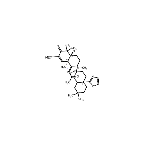 CC(=O)/C=C1/[C@@]2(C)C=C(C#N)C(=O)C(C)(C)[C@@H]2CC[C@@]1(C)[C@]1(C)CC[C@@]2(c3nnco3)CCC(C)(C)CC2C1